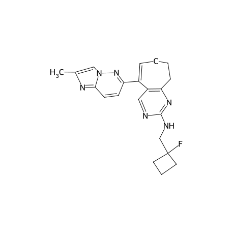 Cc1cn2nc(C3=CCCCc4nc(NCC5(F)CCC5)ncc43)ccc2n1